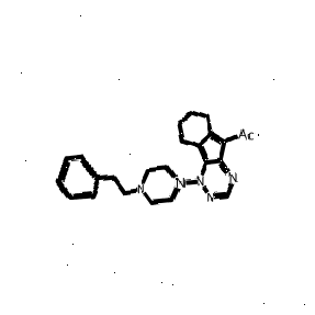 CC(=O)c1c2ncnn(N3CCN(CCc4ccccc4)CC3)c-2c2c1CCCC2